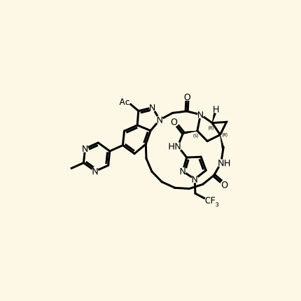 CC(=O)c1nn2c3c(cc(-c4cnc(C)nc4)cc13)CCCCCCC(=O)NC[C@@]13C[C@@H](C(=O)Nc4ccn(CC(F)(F)F)n4)N(C(=O)C2)[C@@H]1C3